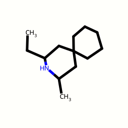 CCC1CC2(CCCCC2)CC(C)N1